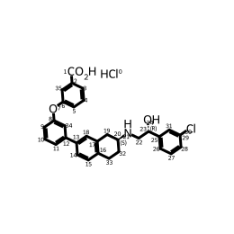 Cl.O=C(O)c1cccc(Oc2cccc(-c3ccc4c(c3)C[C@@H](NC[C@H](O)c3cccc(Cl)c3)CC4)c2)c1